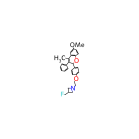 COc1ccc2c(c1)C(C)=C(c1ccccc1)C(c1ccc(OCCN3CC(CF)C3)cc1)O2